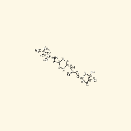 CC(C)(C)OC(=O)NC[C@H]1CC[C@H](NC(=O)COc2ccc(Cl)c(F)c2)CC1